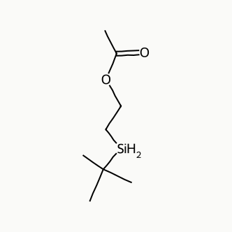 CC(=O)OCC[SiH2]C(C)(C)C